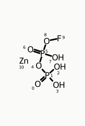 O=P(O)(O)OP(=O)(O)OF.[Zn]